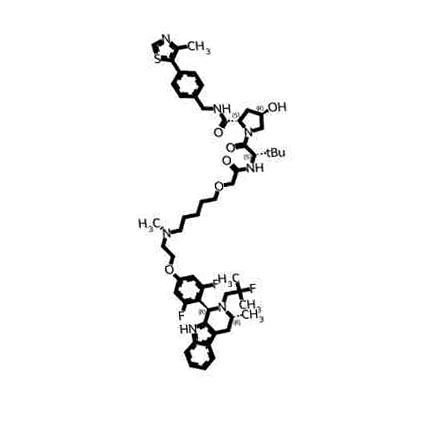 Cc1ncsc1-c1ccc(CNC(=O)[C@@H]2C[C@@H](O)CN2C(=O)[C@@H](NC(=O)COCCCCCN(C)CCOc2cc(F)c([C@@H]3c4[nH]c5ccccc5c4C[C@@H](C)N3CC(C)(C)F)c(F)c2)C(C)(C)C)cc1